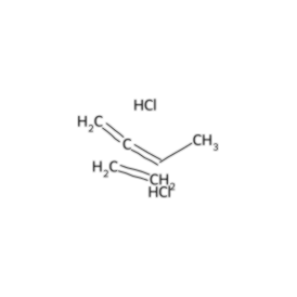 C=C.C=C=CC.Cl.Cl